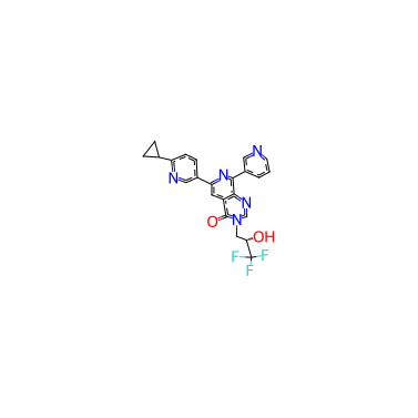 O=c1c2cc(-c3ccc(C4CC4)nc3)nc(-c3cccnc3)c2ncn1C[C@@H](O)C(F)(F)F